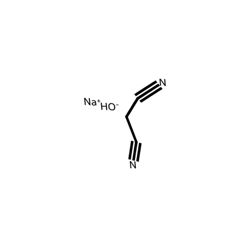 N#CCC#N.[Na+].[OH-]